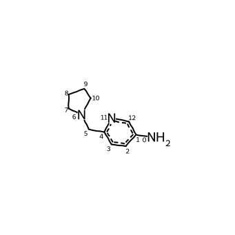 Nc1ccc(CN2CCCC2)nc1